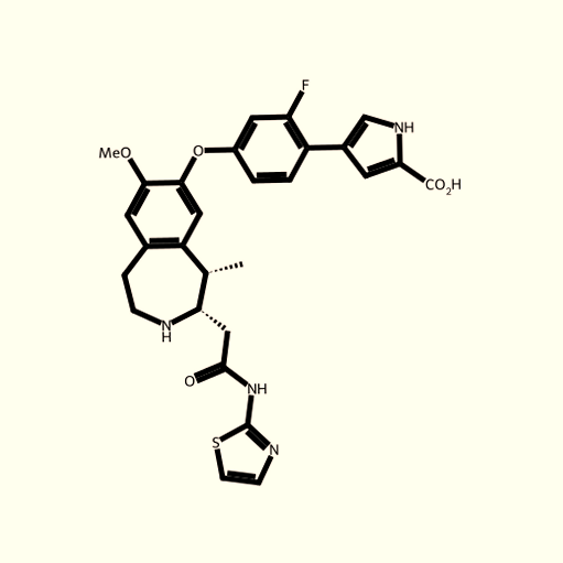 COc1cc2c(cc1Oc1ccc(-c3c[nH]c(C(=O)O)c3)c(F)c1)[C@H](C)[C@H](CC(=O)Nc1nccs1)NCC2